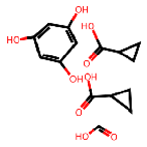 O=C(O)C1CC1.O=C(O)C1CC1.O=CO.Oc1cc(O)cc(O)c1